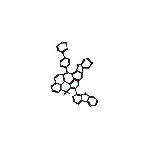 CC1(C)c2c(-c3cccc4c3sc3ccccc34)cccc2-c2c(N(c3ccc(-c4ccccc4)cc3)c3cccc4c3sc3ccccc34)ccc3cccc1c23